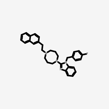 Fc1ccc(Cn2c(N3CCCN(CCc4ccc5ccccc5c4)CCC3)nc3ccccc32)cc1